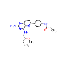 CCC(=O)Nc1ccc(-c2ccc3nc(N)nc(NCC(CC)OC)c3n2)cc1